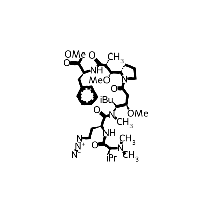 CC[C@H](C)[C@@H]([C@@H](CC(=O)N1CCC[C@H]1[C@H](OC)[C@@H](C)C(=O)N[C@@H](Cc1ccccc1)C(=O)OC)OC)N(C)C(=O)[C@H](CCN=[N+]=[N-])NC(=O)[C@H](C(C)C)N(C)C